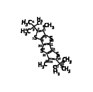 Cc1c(C(C)(C)C)sc2c1sc1c3sc(C(C)(C)C)c(C)c3sc21